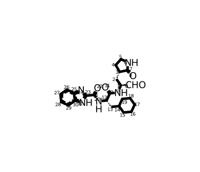 O=C[C@H](C[C@@H]1CCNC1=O)NC(=O)[C@H](CC1CCCCC1)NC(=O)c1nc2ccccc2[nH]1